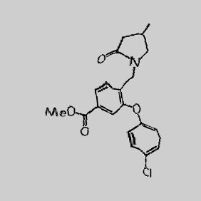 COC(=O)c1ccc(CN2CC(C)CC2=O)c(Oc2ccc(Cl)cc2)c1